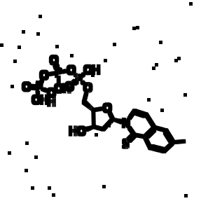 Cc1ccc2c(=S)n([C@H]3C[C@@H](O)[C@@H](COP(=O)(O)OP(=O)(O)OP(=O)(O)O)O3)ccc2c1